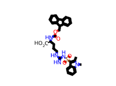 Cc1c(S(=O)(=O)NC(=N)NCCC[C@H](NC(=O)OCC2c3ccccc3-c3ccccc32)C(=O)O)c2ccccc2n1C